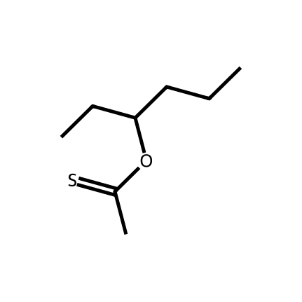 CCCC(CC)OC(C)=S